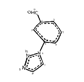 O=Cc1cccc(-n2ccnn2)c1